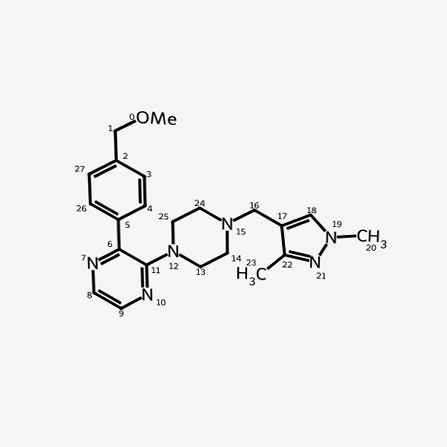 COCc1ccc(-c2nccnc2N2CCN(Cc3cn(C)nc3C)CC2)cc1